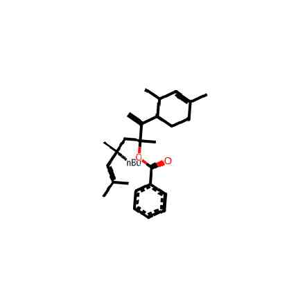 C=C(C1CCC(C)=CC1C)C(C)(CC(C)(C=C(C)C)CCCC)OC(=O)c1ccccc1